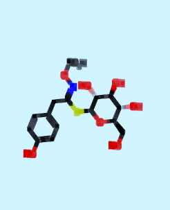 O=S(=O)(O)O/N=C(\Cc1ccc(O)cc1)S[C@@H]1O[C@H](CO)[C@@H](O)[C@H](O)[C@H]1O